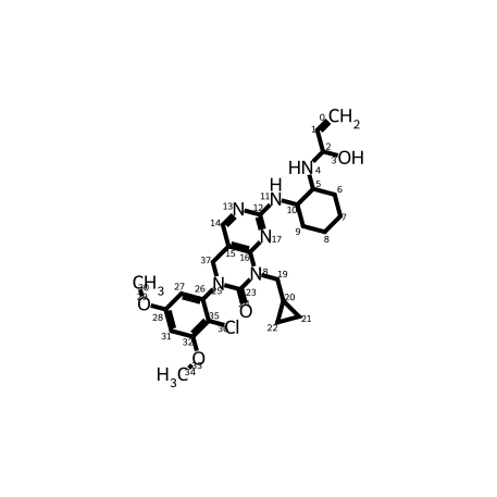 C=CC(O)NC1CCCCC1Nc1ncc2c(n1)N(CC1CC1)C(=O)N(c1cc(OC)cc(OC)c1Cl)C2